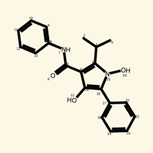 CC(C)c1c(C(=O)Nc2ccccc2)c(O)c(-c2ccccc2)n1O